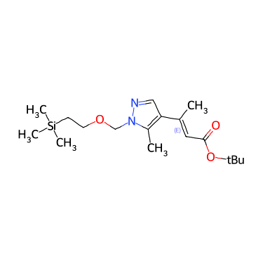 C/C(=C\C(=O)OC(C)(C)C)c1cnn(COCC[Si](C)(C)C)c1C